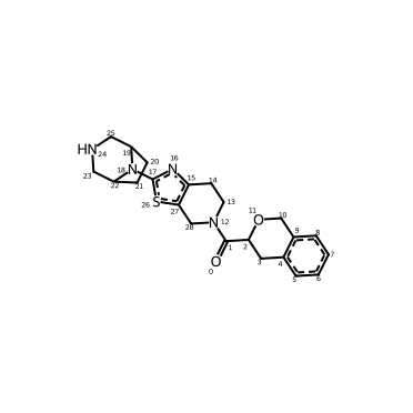 O=C(C1Cc2ccccc2CO1)N1CCc2nc(N3C4CCC3CNC4)sc2C1